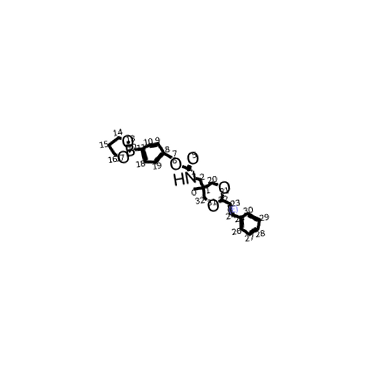 CC1(CNC(=O)OCc2ccc(B3OCCCO3)cc2)COC(/C=C/c2ccccc2)OC1